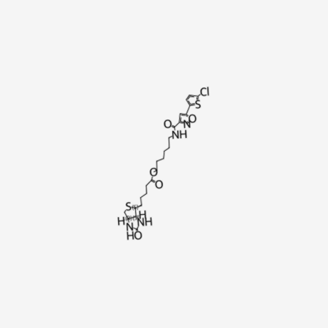 O=C1N[C@H]2[C@H](CS[C@H]2CCCCC(=O)OCCCCCCNC(=O)c2cc(-c3ccc(Cl)s3)on2)N1